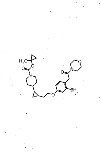 Bc1cc(OCCC2CC2C2CCN(C(=O)OC3(C)CC3)CC2)ccc1CC(=O)N1CCOCC1